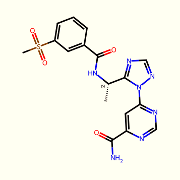 C[C@H](NC(=O)c1cccc(S(C)(=O)=O)c1)c1ncnn1-c1cc(C(N)=O)ncn1